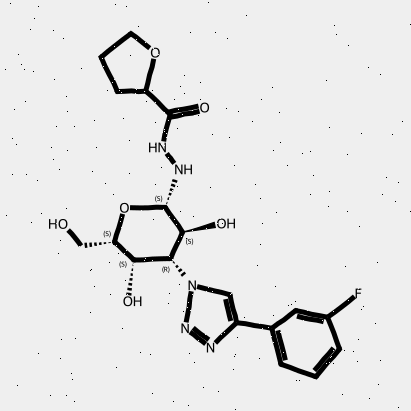 O=C(NN[C@H]1O[C@@H](CO)[C@@H](O)[C@@H](n2cc(-c3cccc(F)c3)nn2)[C@@H]1O)C1CCCO1